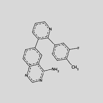 Cc1ccc(-c2ncccc2-c2ccc3ncnc(N)c3c2)cc1F